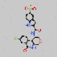 CN(C(=O)c1cc2cc(S(C)(=O)=O)ccc2[nH]1)[C@H]1COCc2[nH]c(=O)c3cc(F)ccc3c21